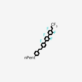 CCCCCc1ccc(CCc2ccc(-c3cc(F)c(-c4cc(F)c(/C=C/C(F)(F)F)c(F)c4)c(F)c3)c(F)c2)cc1